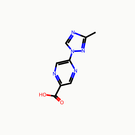 Cc1ncn(-c2cnc(C(=O)O)cn2)n1